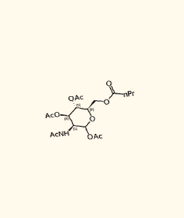 CCCC(=O)OC[C@H]1OC(OC(C)=O)[C@@H](NC(C)=O)[C@@H](OC(C)=O)[C@@H]1OC(C)=O